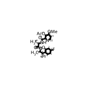 COc1cc(F)ccc1[C@H](C(C)C)[C@H](C)OC(=O)[C@H](C)NC(=O)c1nccc(OC)c1OC(C)=O